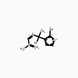 C=[N+](C)/C=N\C(C)(CC)c1ccsc1S